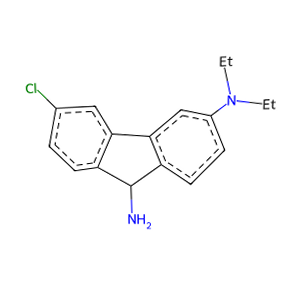 CCN(CC)c1ccc2c(c1)-c1cc(Cl)ccc1C2N